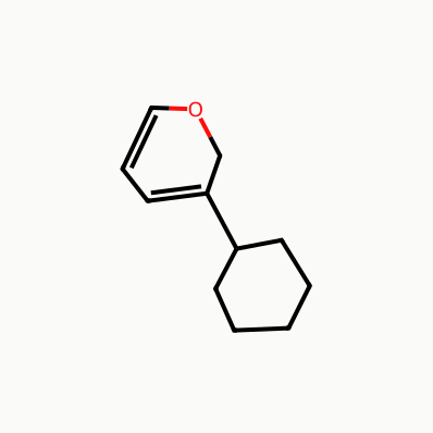 C1=COCC(C2CCCCC2)=C1